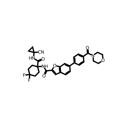 N#CC1(NC(=O)C2(NC(=O)c3cc4ccc(-c5ccc(C(=O)N6CCOCC6)cc5)cc4o3)CCC(F)(F)CC2)CC1